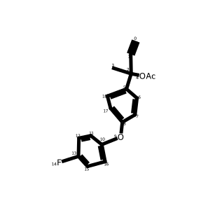 C#CC(C)(OC(C)=O)c1ccc(Oc2ccc(F)cc2)cc1